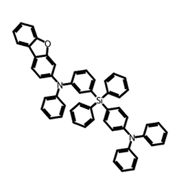 c1ccc(N(c2ccccc2)c2ccc([Si](c3ccccc3)(c3ccccc3)c3cccc(N(c4ccccc4)c4ccc5c(c4)oc4ccccc45)c3)cc2)cc1